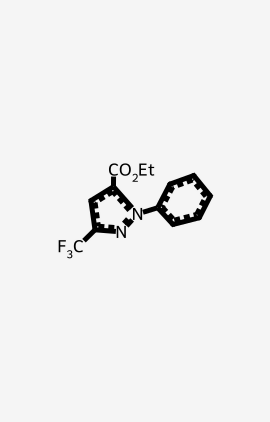 CCOC(=O)c1cc(C(F)(F)F)nn1-c1ccccc1